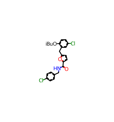 CC(C)COc1ccc(Cl)cc1Cc1ccc(C(=O)NCc2ccc(Cl)cc2)o1